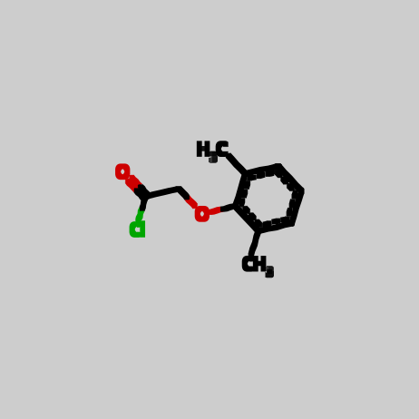 Cc1cccc(C)c1OCC(=O)Cl